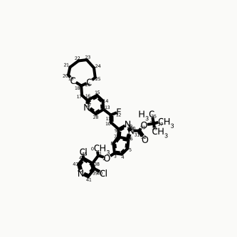 CC(Oc1ccc2c(c1)c(/C=C(\F)c1ccc(CC3CCCCCCCC3)nc1)nn2C(=O)OC(C)(C)C)c1c(Cl)cncc1Cl